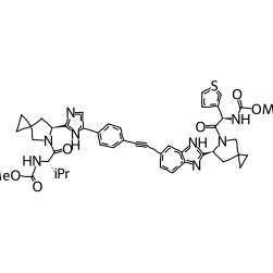 COC(=O)N[C@H](C(=O)N1CC2(CC2)C[C@H]1c1ncc(-c2ccc(C#Cc3ccc4nc([C@@H]5CC6(CC6)CN5C(=O)[C@H](NC(=O)OC)c5ccsc5)[nH]c4c3)cc2)[nH]1)C(C)C